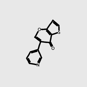 O=c1c(-c2cccnc2)coc2ccsc12